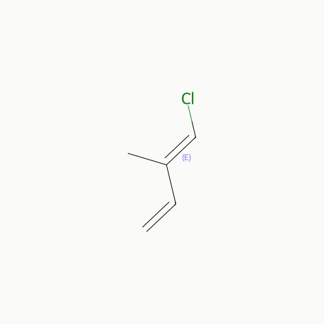 C=C/C(C)=C/Cl